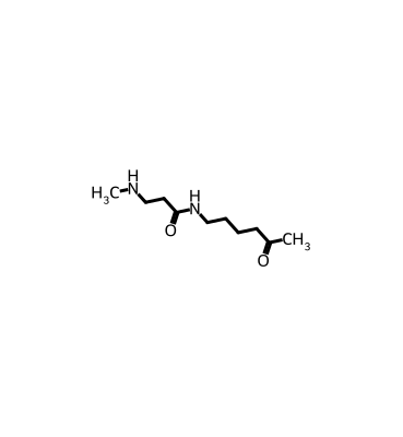 CNCCC(=O)NCCCCC(C)=O